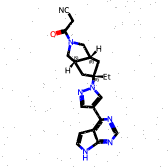 CC[C@]1(n2cc(-c3ncnc4[nH]ccc34)cn2)C[C@H]2CN(C(=O)CC#N)C[C@H]2C1